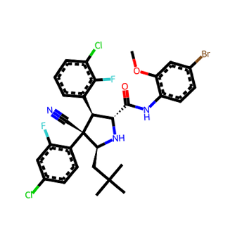 COc1cc(Br)ccc1NC(=O)[C@@H]1N[C@@H](CC(C)(C)C)[C@](C#N)(c2ccc(Cl)cc2F)[C@H]1c1cccc(Cl)c1F